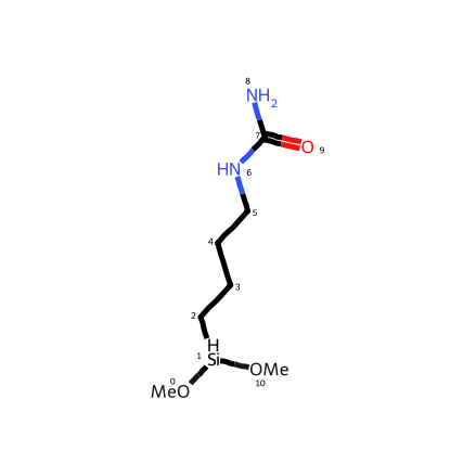 CO[SiH](CCCCNC(N)=O)OC